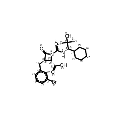 CC(F)(F)[C@@H](NC(=O)N1C(=O)[C@H](Cc2cccc(Br)c2)[C@H]1C(=O)O)C1CCCCC1